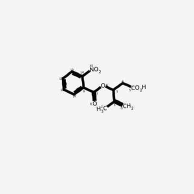 C=C(C)C(CC(=O)O)OC(=O)c1ccccc1[N+](=O)[O-]